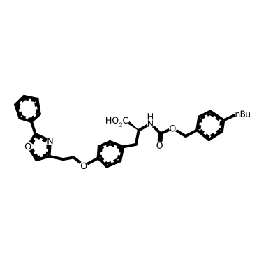 CCCCc1ccc(COC(=O)N[C@@H](Cc2ccc(OCCc3coc(-c4ccccc4)n3)cc2)C(=O)O)cc1